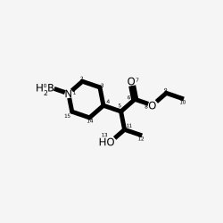 BN1CCC(C(C(=O)OCC)C(C)O)CC1